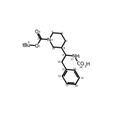 CC(C)(C)OC(=O)N1CCCC(C(Cc2ccccc2)NC(=O)O)C1